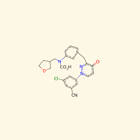 N#Cc1cc(Cl)cc(-n2ccc(=O)c(Cc3cccc(N(CC4CCOC4)C(=O)O)c3)n2)c1